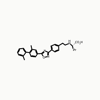 Cc1ccccc1-c1ccc(-c2nc(-c3ccc(CCN[C@H](C(=O)O)C(C)C)cc3)no2)cc1C